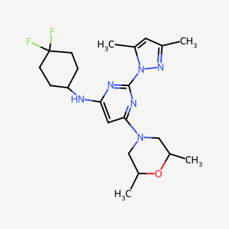 Cc1cc(C)n(-c2nc(NC3CCC(F)(F)CC3)cc(N3CC(C)OC(C)C3)n2)n1